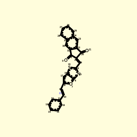 O=C1C(=Cc2nc3oc(/C=C/c4ccccc4)cc3s2)C(=O)c2cc3ccccc3cc21